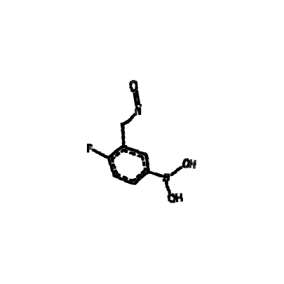 O=NCc1cc(B(O)O)ccc1F